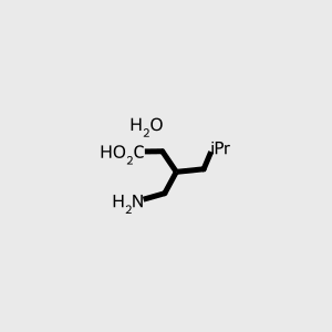 CC(C)CC(CN)CC(=O)O.O